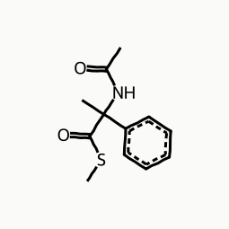 CSC(=O)C(C)(NC(C)=O)c1ccccc1